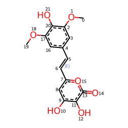 COc1cc(/C=C/c2cc(O)c(O)c(=O)o2)cc(OC)c1O